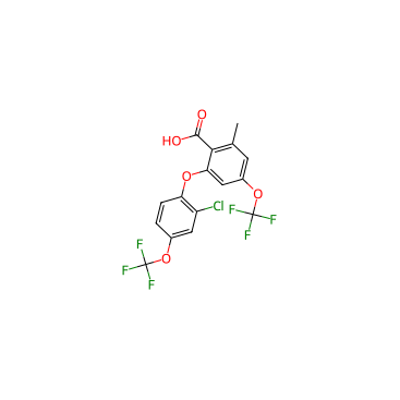 Cc1cc(OC(F)(F)F)cc(Oc2ccc(OC(F)(F)F)cc2Cl)c1C(=O)O